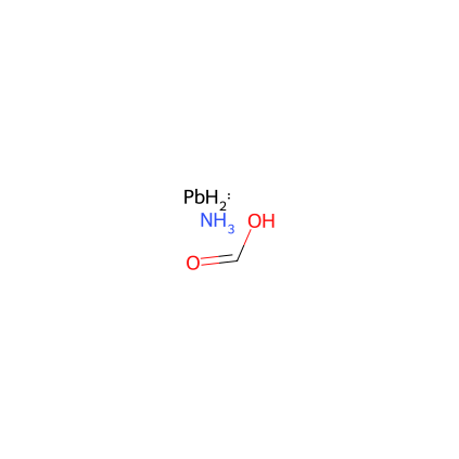 N.O=CO.[PbH2]